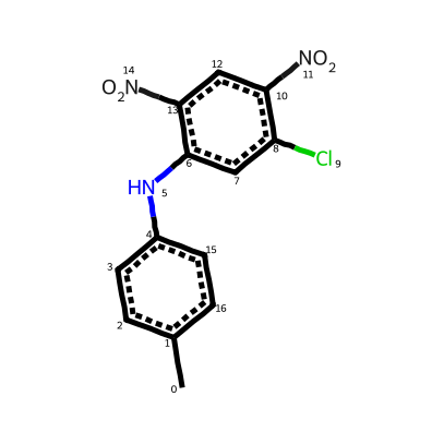 Cc1ccc(Nc2cc(Cl)c([N+](=O)[O-])cc2[N+](=O)[O-])cc1